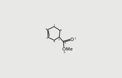 COC(=O)C1CC=CCC1